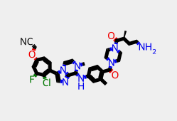 Cc1cc(NC2c3ncc(C4=C(Cl)C(F)C=C(OCC#N)C=C4)n3C=CN2C)ccc1C(=O)N1CCN(C(=O)[C@@H](C)CCN)CC1